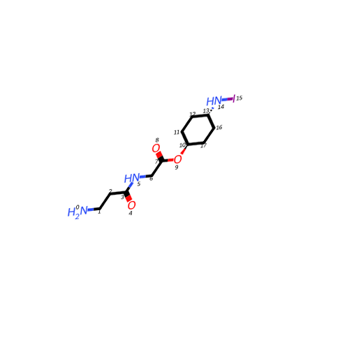 NCCC(=O)NCC(=O)O[C@H]1CC[C@H](NI)CC1